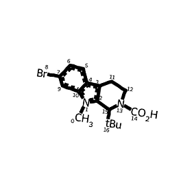 Cn1c2c(c3ccc(Br)cc31)CCN(C(=O)O)C2C(C)(C)C